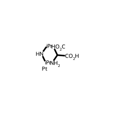 CC(C)NC(C)C.NC(C(=O)O)C(=O)O.[Pt]